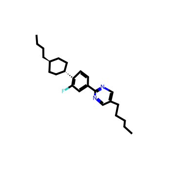 CCCCCc1cnc(-c2ccc([C@H]3CC[C@H](CCCC)CC3)c(F)c2)nc1